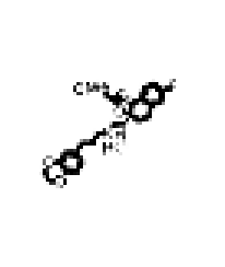 COCC(=O)O[C@@]1(CCNCCCc2ccc3c(c2)OCCO3)CCc2cc(F)ccc2[C@H]1C(C)C.Cl